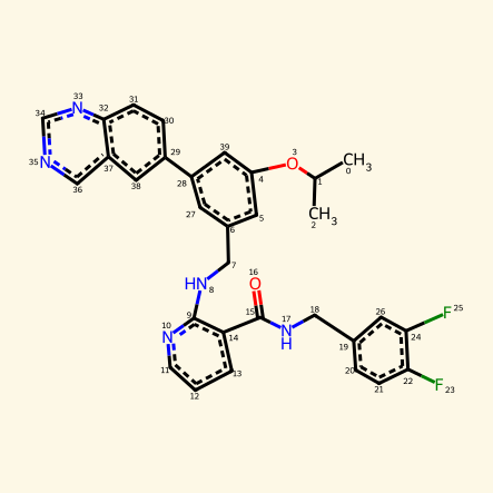 CC(C)Oc1cc(CNc2ncccc2C(=O)NCc2ccc(F)c(F)c2)cc(-c2ccc3ncncc3c2)c1